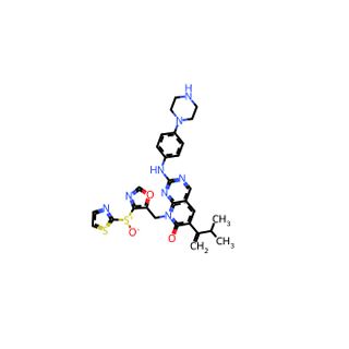 C=C(c1cc2cnc(Nc3ccc(N4CCNCC4)cc3)nc2n(Cc2ocnc2[S+]([O-])c2nccs2)c1=O)C(C)C